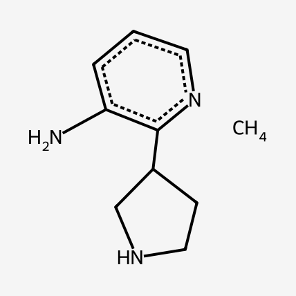 C.Nc1cccnc1C1CCNC1